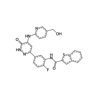 O=C(Nc1cc(-c2cc(Nc3ccc(CO)cn3)c(=O)[nH]n2)ccc1F)c1cc2ccccc2s1